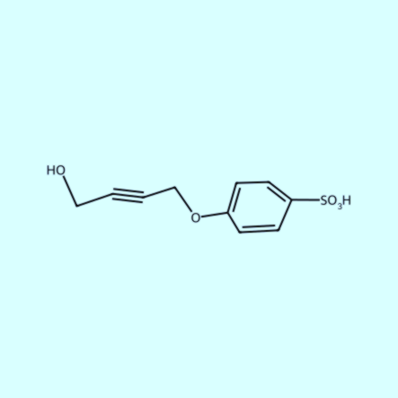 O=S(=O)(O)c1ccc(OCC#CCO)cc1